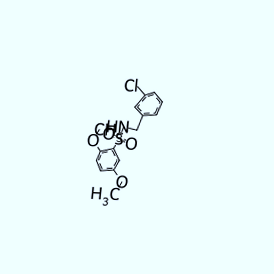 COc1ccc(OC)c(S(=O)(=O)NCc2cccc(Cl)c2)c1